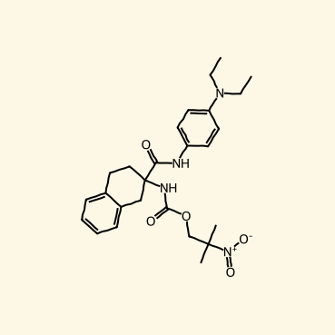 CCN(CC)c1ccc(NC(=O)C2(NC(=O)OCC(C)(C)[N+](=O)[O-])CCc3ccccc3C2)cc1